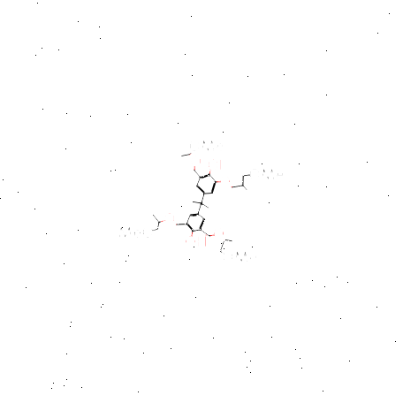 COCC(C)COc1cc(C(C)(C)c2cc(COC(C)COC)c(O)c(COC(C)COC)c2)cc(COC(C)OC)c1O